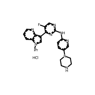 CC(C)n1cc(-c2nc(Nc3ccc(N4CCNCC4)cn3)ncc2F)c2ncccc21.Cl